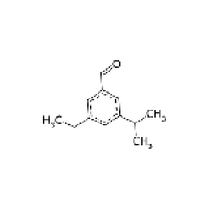 CCc1cc(C=O)cc(C(C)C)c1